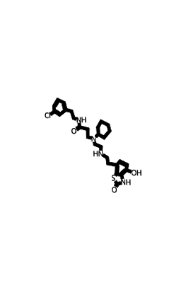 O=C(CCN(CCNCCc1ccc(O)c2[nH]c(=O)sc12)C1CCCCC1)NCCc1cccc(Cl)c1